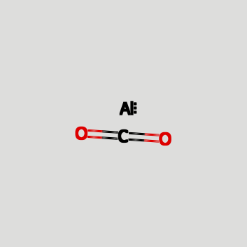 O=C=O.[Al]